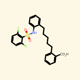 O=C(O)c1ccccc1CCCCCc1ccccc1NS(=O)(=O)c1c(F)cccc1F